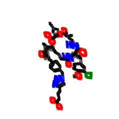 COC(=O)CCCc1cn(Cc2ccc([C@H]3O[C@@H]3[C@@H](C)[C@@H]3C/C=C/C(=O)N[C@H](Cc4ccc(OC)c(Cl)c4)C(=O)NCC(C)(C)C(=O)O[C@@H](CC(C)C)C(=O)O3)cc2)nn1